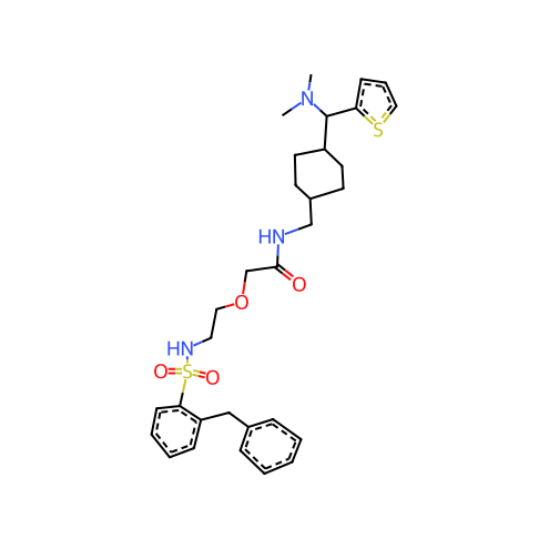 CN(C)C(c1cccs1)C1CCC(CNC(=O)COCCNS(=O)(=O)c2ccccc2Cc2ccccc2)CC1